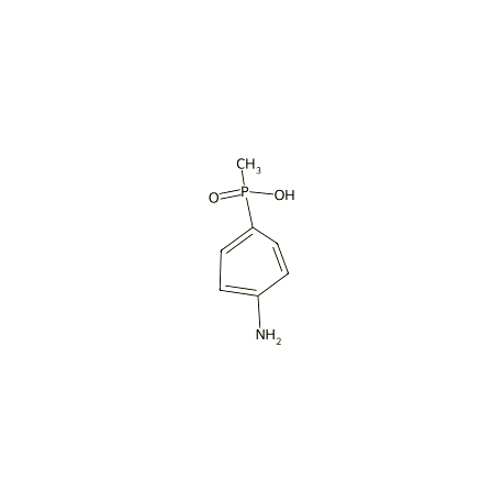 CP(=O)(O)c1ccc(N)cc1